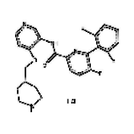 Cl.O=C(Nc1cncnc1OCC1CCNCC1)c1ccc(F)c(-c2c(F)cccc2F)n1